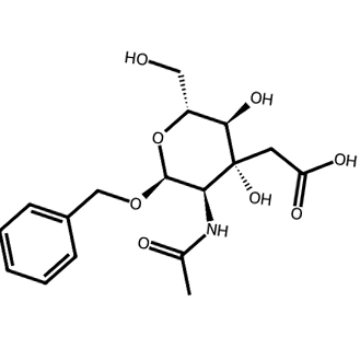 CC(=O)N[C@H]1[C@@H](OCc2ccccc2)O[C@H](CO)[C@@H](O)[C@@]1(O)CC(=O)O